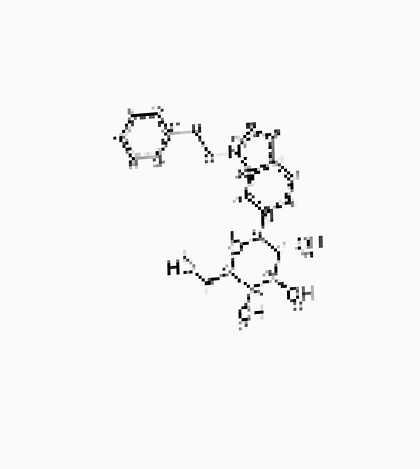 OC[C@H]1O[C@@H](c2ccc3ccn(CCc4ccccc4)c3c2)[C@H](O)[C@@H](O)[C@@H]1O